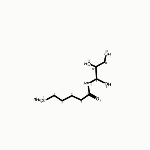 CCCCCCCCCCCC(=O)PC(O)C(O)CO